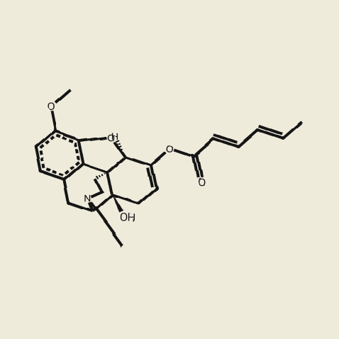 CC=CC=CC(=O)OC1=CC[C@]2(O)C3Cc4ccc(OC)c5c4[C@@]2(CCN3C)[C@H]1O5